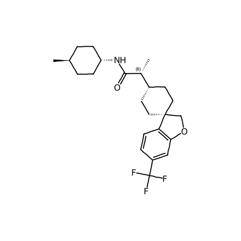 C[C@@H](C(=O)N[C@H]1CC[C@H](C)CC1)[C@H]1CC[C@]2(CC1)COc1cc(C(F)(F)F)ccc12